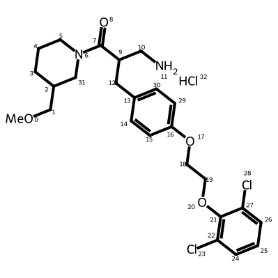 COCC1CCCN(C(=O)C(CN)Cc2ccc(OCCOc3c(Cl)cccc3Cl)cc2)C1.Cl